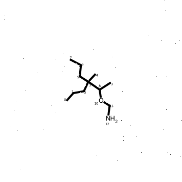 CCCC(C)(CCC)C(C)OCN